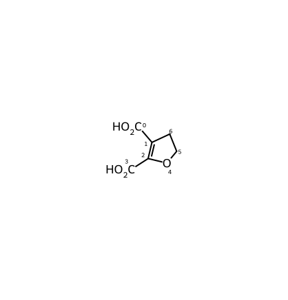 O=C(O)C1=C(C(=O)O)OCC1